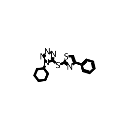 c1ccc(-c2csc(Sc3nnnn3C3CCCCC3)n2)cc1